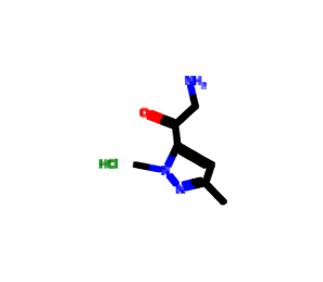 Cc1cc(C(=O)CN)n(C)n1.Cl